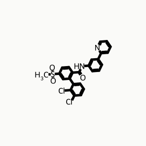 CS(=O)(=O)c1ccc(C(=O)Nc2cccc(-c3ccccn3)c2)c(-c2cccc(Cl)c2Cl)c1